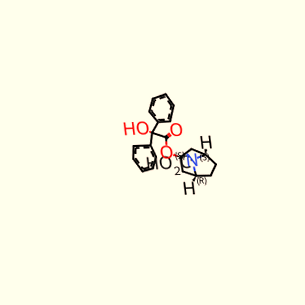 O=C(O)N1[C@@H]2CC[C@H]1C[C@H](OC(=O)C(O)(c1ccccc1)c1ccccc1)C2